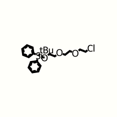 CC(C)(C)[Si](OCCOCCOCCCl)(c1ccccc1)c1ccccc1